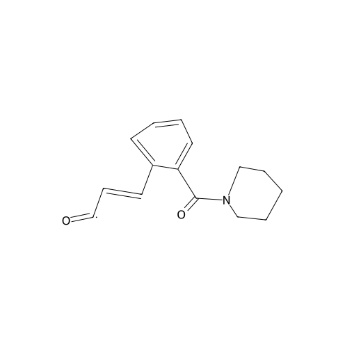 O=[C]/C=C/c1ccccc1C(=O)N1CCCCC1